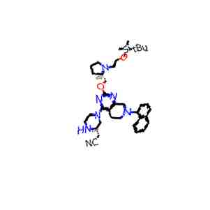 CC(C)(C)[Si](C)(C)OCCN1CCC[C@H]1COc1nc2c(c(N3CCN[C@@H](CC#N)C3)n1)CCN(c1cccc3ccccc13)C2